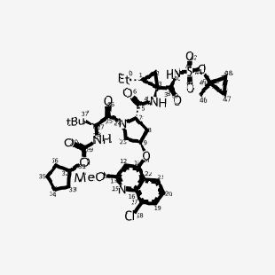 CC[C@@H]1C[C@]1(NC(=O)[C@@H]1C[C@@H](Oc2cc(OC)nc3c(Cl)cccc23)CN1C(=O)[C@@H](NC(=O)OC1CCCC1)C(C)(C)C)C(=O)NS(=O)(=O)OC1(C)CC1